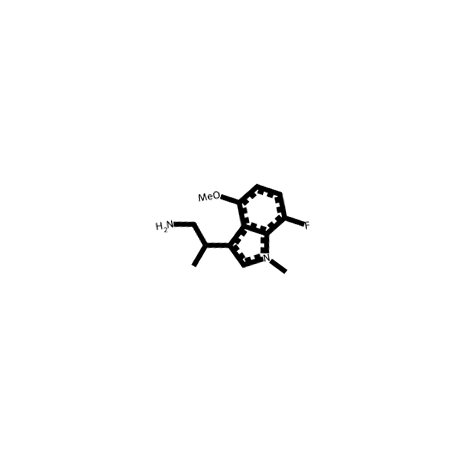 COc1ccc(F)c2c1c(C(C)CN)cn2C